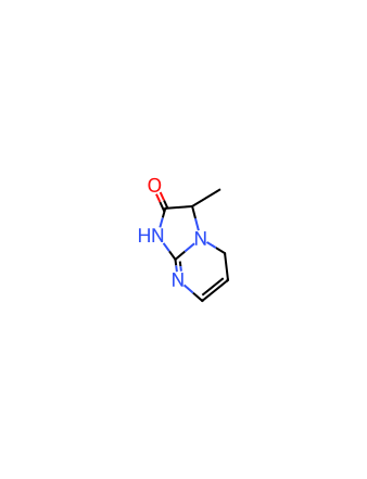 CC1C(=O)NC2=NC=CCN21